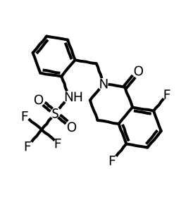 O=C1c2c(F)ccc(F)c2CCN1Cc1ccccc1NS(=O)(=O)C(F)(F)F